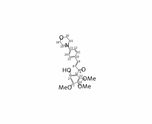 COc1cc(O)c(C(=O)/C=C/c2ccc(N3CCOCC3)cc2)c(OC)c1OC